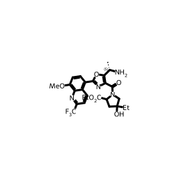 CCOC(=O)C1CC(O)(CC)CN1C(=O)c1nc(-c2ccc(OC)c3nc(C(F)(F)F)ccc23)oc1[C@H](C)N